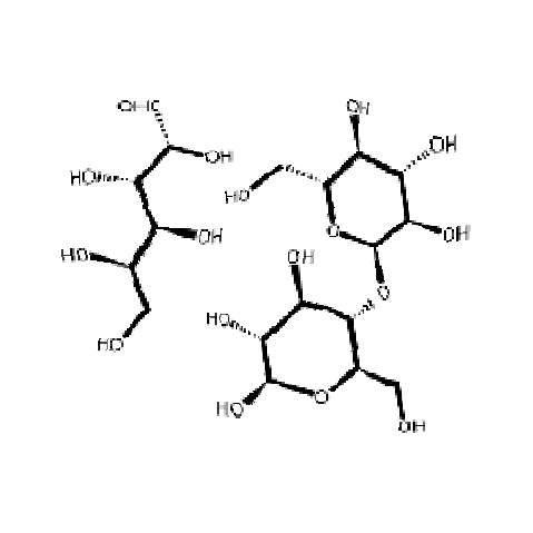 O=C[C@H](O)[C@@H](O)[C@@H](O)[C@H](O)CO.OC[C@H]1O[C@H](O[C@H]2[C@H](O)[C@@H](O)[C@H](O)O[C@@H]2CO)[C@H](O)[C@@H](O)[C@@H]1O